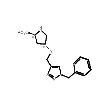 O=C(O)[C@@H]1C[C@@H](OCc2cn(Cc3ccccc3)nn2)CN1